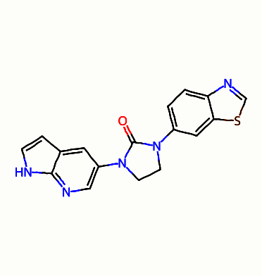 O=C1N(c2cnc3[nH]ccc3c2)CCN1c1ccc2ncsc2c1